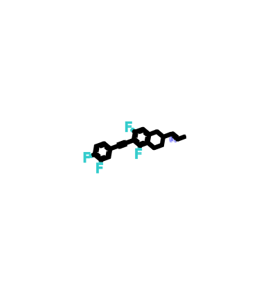 C/C=C/C1CCc2c(cc(F)c(C#Cc3ccc(F)c(F)c3)c2F)C1